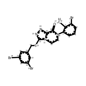 Cc1c(Br)cccc1-n1ccn2c(SCc3cc(Br)cc(Br)c3)nnc2c1=O